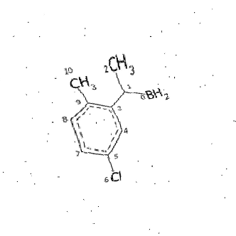 BC(C)c1cc(Cl)ccc1C